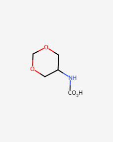 O=C(O)NC1COCOC1